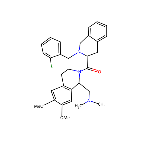 COc1cc2c(cc1OC)C(CN(C)C)N(C(=O)C1Cc3ccccc3CN1Cc1ccccc1F)CC2